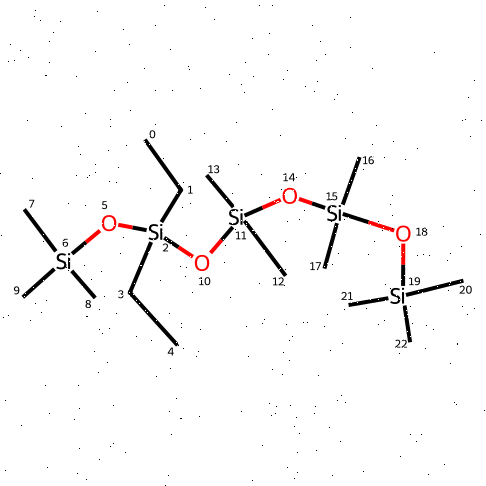 CC[Si](CC)(O[Si](C)(C)C)O[Si](C)(C)O[Si](C)(C)O[Si](C)(C)C